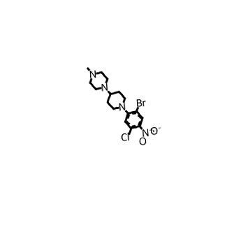 CN1CCN(C2CCN(c3cc(Cl)c([N+](=O)[O-])cc3Br)CC2)CC1